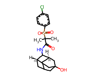 CC(C)(C(=O)NC1[C@@H]2CC3C[C@H]1CC(O)(C3)C2)S(=O)(=O)c1ccc(Cl)cc1